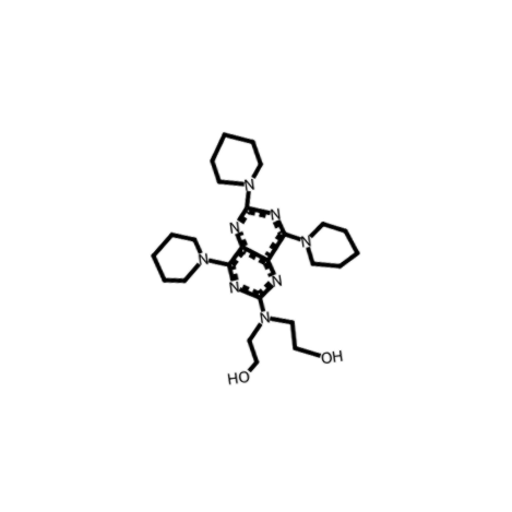 OCCN(CCO)c1nc(N2CCCCC2)c2nc(N3CCCCC3)nc(N3CCCCC3)c2n1